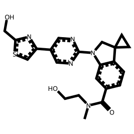 CN(CCO)C(=O)c1ccc2c(c1)N(c1ncc(-c3csc(CO)n3)cn1)CC21CC1